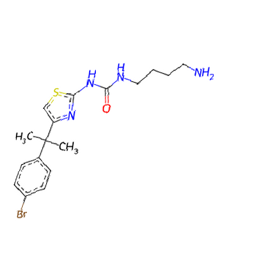 CC(C)(c1ccc(Br)cc1)c1csc(NC(=O)NCCCCN)n1